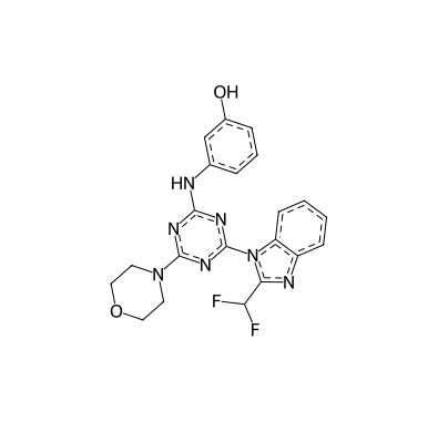 Oc1cccc(Nc2nc(N3CCOCC3)nc(-n3c(C(F)F)nc4ccccc43)n2)c1